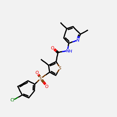 Cc1cc(C)nc(NC(=O)c2scc(S(=O)(=O)c3ccc(Cl)cc3)c2C)c1